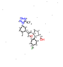 Cc1ccc(-n2nnnc2C(F)(F)F)cc1C1=C[C@@]2(CC[C@H](CO)[C@H]2c2ccc(F)cc2)OC1